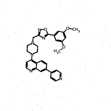 COc1cc(OC)cc(-c2nc(CN3CCN(c4ccnc5cc(-c6ccncc6)ccc45)CC3)no2)c1